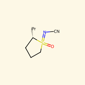 CC(C)[C@H]1CCCS1(=O)=NC#N